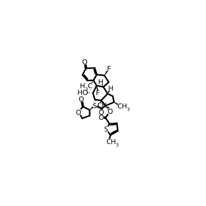 Cc1ccc(C(=O)O[C@]2(C(=O)S[C@H]3CCOC3=O)[C@H](C)C[C@H]3[C@@H]4C[C@H](F)C5=CC(=O)C=C[C@]5(C)[C@@]4(F)[C@@H](O)C[C@@]32C)s1